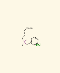 CCCCCCCCCCCCP(C)(C)(C)Cc1ccccc1.Cl